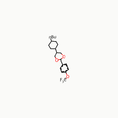 CCCCC1CCC(C2COC(c3ccc(OC(F)(F)F)cc3)OC2)CC1